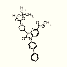 COC(=O)c1ccc2c(n1)n(C1CCN(C(=O)OC(C)(C)C)C1)c(=O)n2-c1ccc(-c2ccccc2)cc1